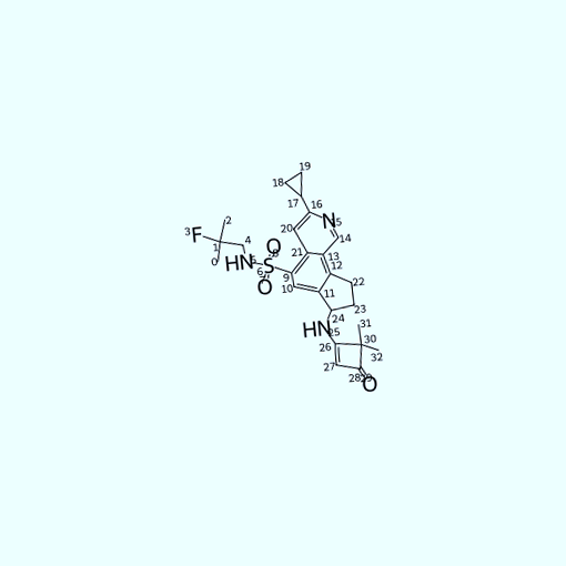 CC(C)(F)CNS(=O)(=O)c1cc2c(c3cnc(C4CC4)cc13)CCC2NC1=CC(=O)C1(C)C